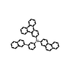 c1cc(-c2ccc3ccccc3c2)cc(N(c2ccc3c(ccc4ccccc43)c2)c2ccc3c4ccccc4c4ccccc4c3c2)c1